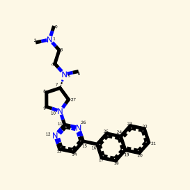 CN(C)CCN(C)[C@H]1CCN(c2nccc(-c3ccc4ccccc4c3)n2)C1